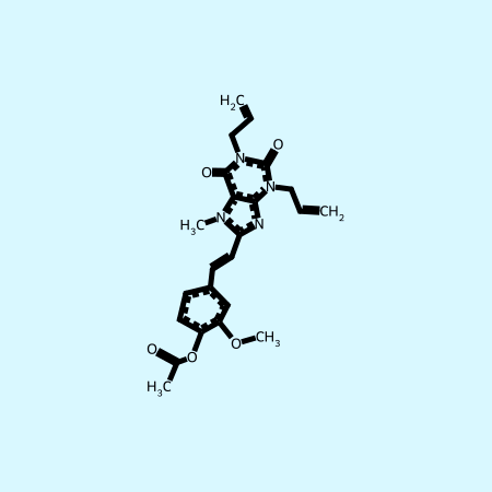 C=CCn1c(=O)c2c(nc(C=Cc3ccc(OC(C)=O)c(OC)c3)n2C)n(CC=C)c1=O